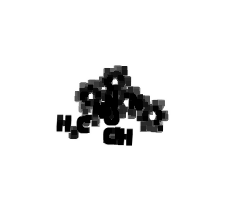 CCCN1C(=O)N(C2CCN(CC3CCCCC3)CC2)C(c2ccccc2)c2ccccc21.Cl